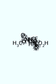 Cc1ccc2c(c1)C1(CCOCC1)CN2c1ccc(C(=O)NC2(C(=O)O)C3CC4CC(C3)CC2C4)c(C(F)(F)F)n1